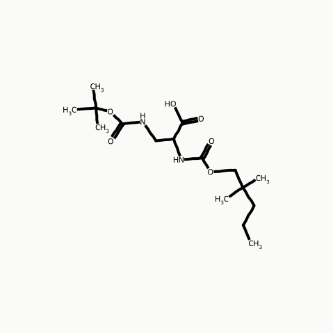 CCCC(C)(C)COC(=O)NC(CNC(=O)OC(C)(C)C)C(=O)O